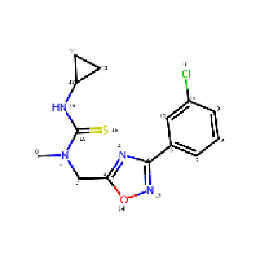 CN(Cc1nc(-c2cccc(Cl)c2)no1)C(=S)NC1CC1